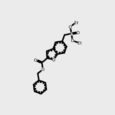 CCOP(=O)(Cc1ccc2oc(C(=O)OCc3ccccc3)cc2c1)OCC